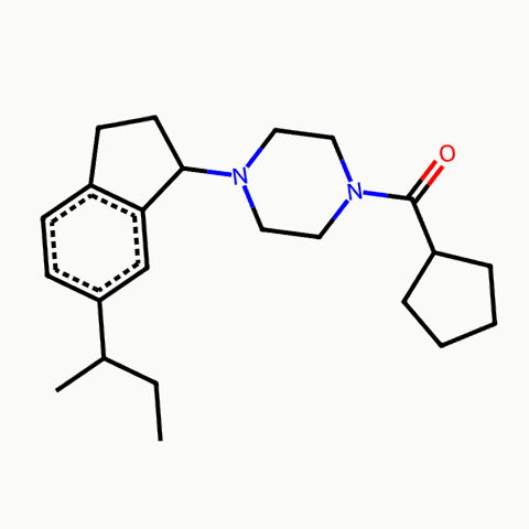 CCC(C)c1ccc2c(c1)C(N1CCN(C(=O)C3CCCC3)CC1)CC2